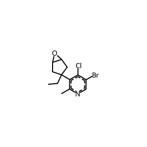 CCC1(c2c(C)ncc(Br)c2Cl)CC2OC2C1